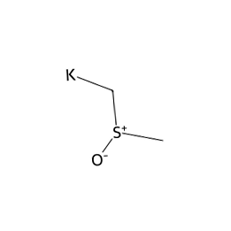 C[S+]([O-])[CH2][K]